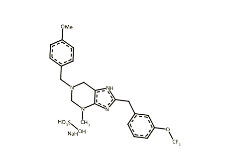 COc1ccc(CN2Cc3[nH]c(Cc4cccc(OC(F)(F)F)c4)nc3N(C)C2)cc1.O=S(=O)(O)O.[NaH]